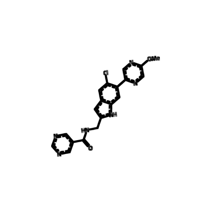 COc1cnc(-c2cc3[nH]c(CNC(=O)c4cncnc4)cc3cc2Cl)cn1